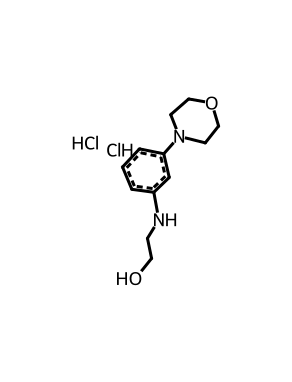 Cl.Cl.OCCNc1cccc(N2CCOCC2)c1